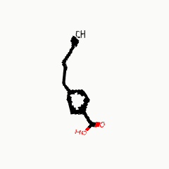 C#CCCCc1ccc(C(=O)O)cc1